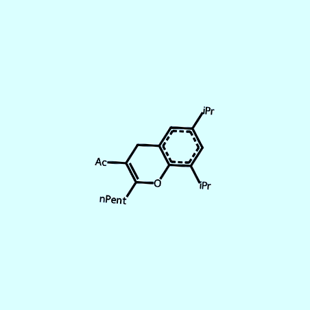 CCCCCC1=C(C(C)=O)Cc2cc(C(C)C)cc(C(C)C)c2O1